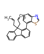 C=CCC1(CC=C)c2ccccc2-c2cccc(-c3cccc4ncsc34)c21